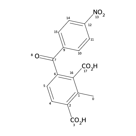 Cc1c(C(=O)O)ccc(C(=O)c2ccc([N+](=O)[O-])cc2)c1C(=O)O